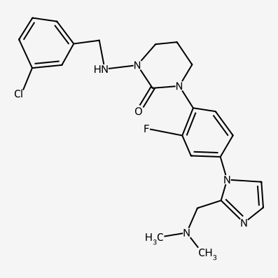 CN(C)Cc1nccn1-c1ccc(N2CCCN(NCc3cccc(Cl)c3)C2=O)c(F)c1